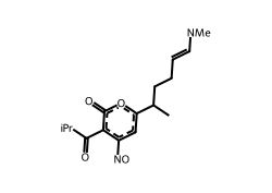 CN/C=C/CCC(C)c1cc(N=O)c(C(=O)C(C)C)c(=O)o1